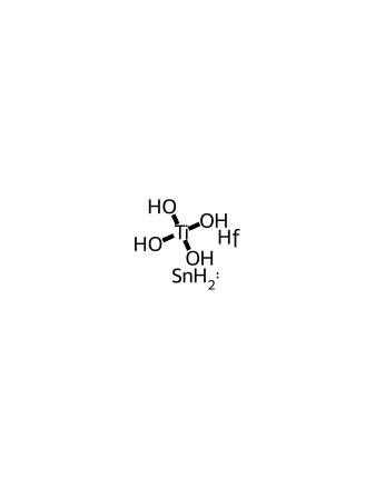 [Hf].[OH][Ti]([OH])([OH])[OH].[SnH2]